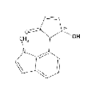 Cn1ccc2cccc(C3C(=O)C=C[C@@H]3O)c21